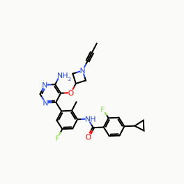 CC#CN1CC(Oc2c(N)ncnc2-c2cc(F)cc(NC(=O)c3ccc(C4CC4)cc3F)c2C)C1